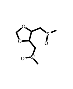 C[S+]([O-])CC1OCOC1C[S+](C)[O-]